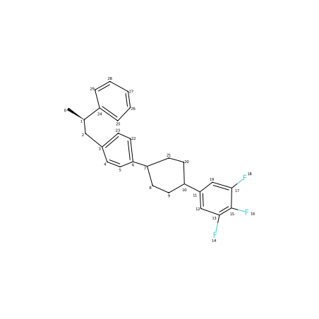 C[C@H](Cc1ccc(C2CCC(c3cc(F)c(F)c(F)c3)CC2)cc1)c1ccccc1